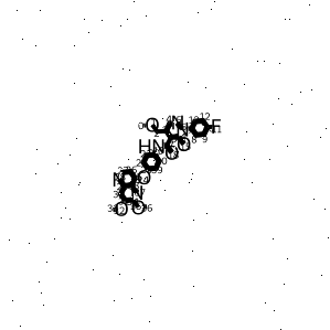 COCc1cnn(-c2ccc(F)cc2)c(=O)c1C(=O)Nc1ccc(Oc2ccnc3cc(OC)c(OC)nc23)cc1